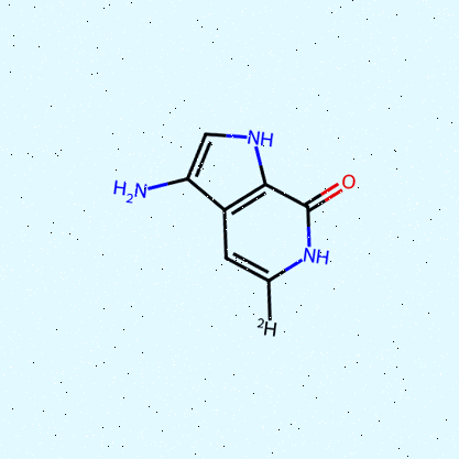 [2H]c1cc2c(N)c[nH]c2c(=O)[nH]1